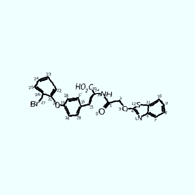 O=C(COc1nc2ccccc2s1)NC(=Cc1ccc(Oc2ccccc2Br)cc1)C(=O)O